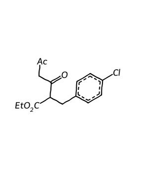 CCOC(=O)C(Cc1ccc(Cl)cc1)C(=O)CC(C)=O